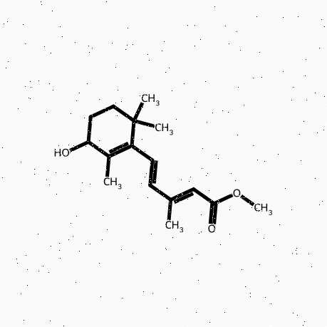 COC(=O)C=C(C)C=CC1=C(C)C(O)CCC1(C)C